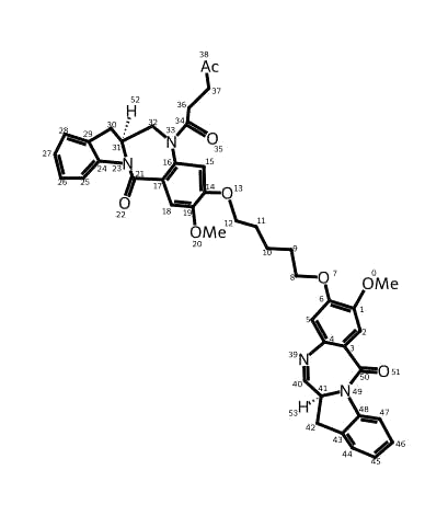 COc1cc2c(cc1OCCCCCOc1cc3c(cc1OC)C(=O)N1c4ccccc4C[C@H]1CN3C(=O)CCC(C)=O)N=C[C@@H]1Cc3ccccc3N1C2=O